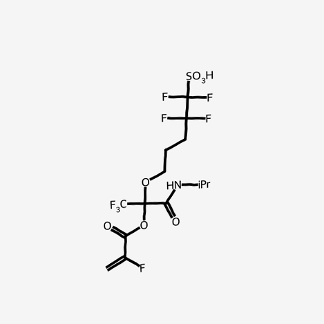 C=C(F)C(=O)OC(OCCCC(F)(F)C(F)(F)S(=O)(=O)O)(C(=O)NC(C)C)C(F)(F)F